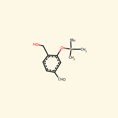 CC(C)(C)[Si](C)(C)Oc1cc(C=O)ccc1CO